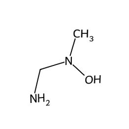 CN(O)CN